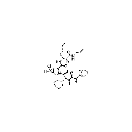 C=CCCC(NC(=O)[C@@H]1C2C(CN1C(=O)C(NC(=O)NC1CC3CCC1C3)C1CCCCC1)C2(Cl)Cl)C(=O)C(=O)NCC=C